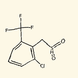 O=[SH](=O)Cc1c(Cl)cccc1C(F)(F)F